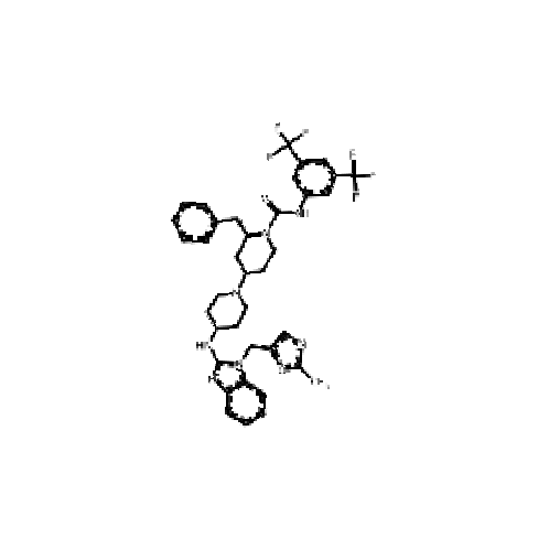 Cc1ncc(Cn2c(NC3CCN(C4CCN(C(=O)Nc5cc(C(F)(F)F)cc(C(F)(F)F)c5)C(Cc5ccccc5)C4)CC3)nc3ccccc32)o1